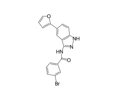 O=C(Nc1n[nH]c2ccc(-c3ccco3)cc12)c1cccc(Br)c1